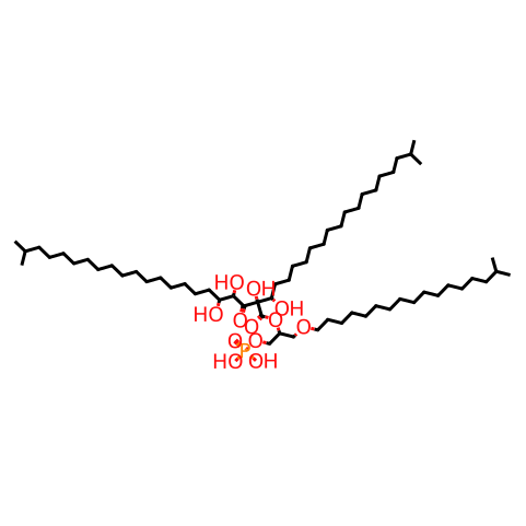 CC(C)CCCCCCCCCCCCCCCOCC(COP(=O)(O)O)OC(=O)C(O)(C(=O)C(O)C(O)CCCCCCCCCCCCCCCC(C)C)C(O)CCCCCCCCCCCCCCCC(C)C